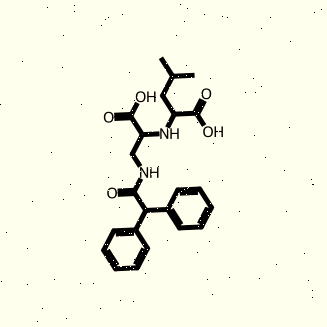 CC(C)CC(NC(CNC(=O)C(c1ccccc1)c1ccccc1)C(=O)O)C(=O)O